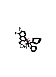 CC(C)(C)[Si](Oc1cc(CO)cc2c(F)c(F)ccc12)(c1ccccc1)c1ccccc1